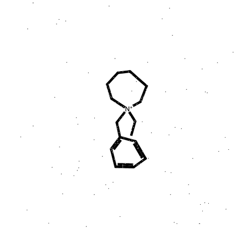 CC[N+]1(Cc2ccccc2)CCCCCC1